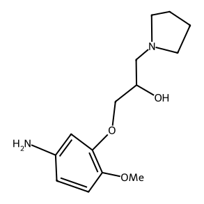 COc1ccc(N)cc1OCC(O)CN1CCCC1